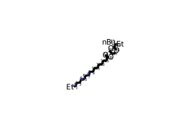 CC/C=C/C/C=C/C/C=C/CCCCCCCC(=O)OC1COC(C(CC)CCCC)OC1